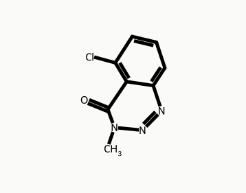 Cn1nnc2cccc(Cl)c2c1=O